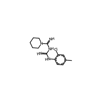 Cc1ccc(NC(=N)NC(=N)N2CCCCC2)c(Cl)c1